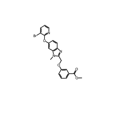 COC(=O)c1cccc(OCc2nc3ccc(Oc4ncccc4Br)cc3n2C)c1